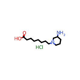 Cl.NC1CCCN(CCCCCCCC(=O)O)C1